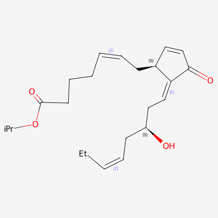 CC/C=C\C[C@H](O)C/C=C1/C(=O)C=C[C@@H]1C/C=C\CCCC(=O)OC(C)C